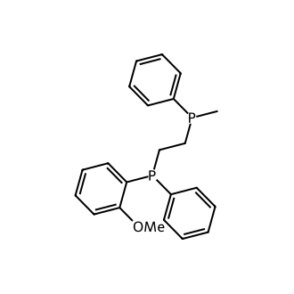 COc1ccccc1P(CCP(C)c1ccccc1)c1ccccc1